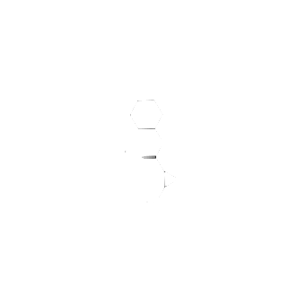 O=C([O-])C1OC1C(=O)OC1CCCCC1.[K+]